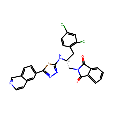 O=C1c2ccccc2C(=O)N1C[C@@H](Cc1ccc(Cl)cc1Cl)Nc1nnc(-c2ccc3cnccc3c2)s1